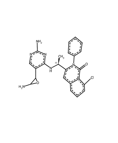 C[C@H](Nc1nc(N)ncc1C1OC1N)c1cc2cccc(Cl)c2c(=O)n1-c1ccccc1